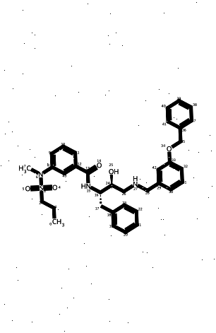 CCCS(=O)(=O)N(C)c1cccc(C(=O)N[C@@H](Cc2ccccc2)[C@@H](O)CNCc2cccc(OCc3ccccc3)c2)c1